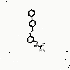 NC(=O)NSc1cccc(OCc2ccc(-c3ccccc3)cc2)c1